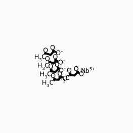 CC(=O)CC(=O)[O-].CC(=O)CC(=O)[O-].CC(=O)CC(=O)[O-].CC(=O)CC(=O)[O-].CC(=O)CC(=O)[O-].[Nb+5]